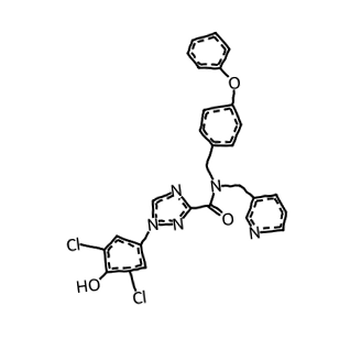 O=C(c1ncn(-c2cc(Cl)c(O)c(Cl)c2)n1)N(Cc1ccc(Oc2ccccc2)cc1)Cc1cccnc1